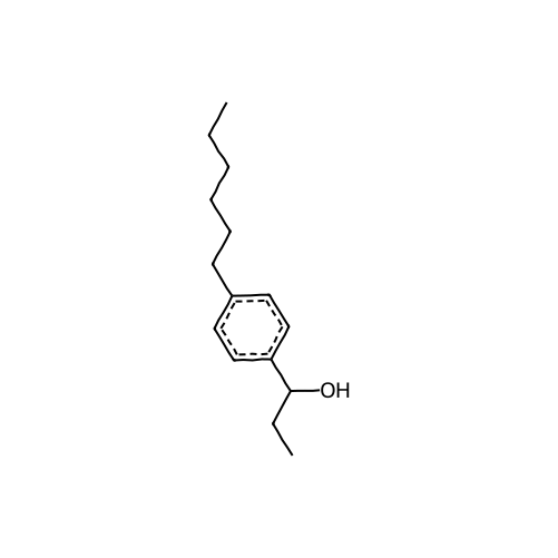 CCCCCCc1ccc(C(O)CC)cc1